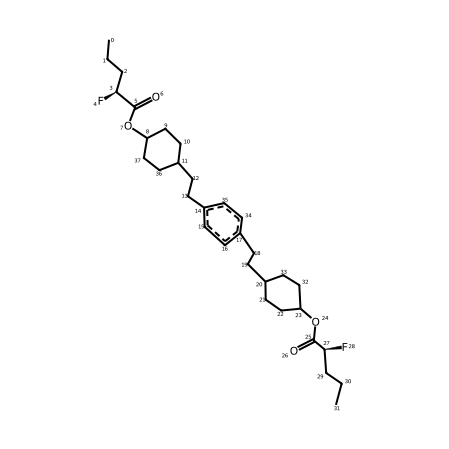 CCC[C@H](F)C(=O)OC1CCC(CCc2ccc(CCC3CCC(OC(=O)[C@@H](F)CCC)CC3)cc2)CC1